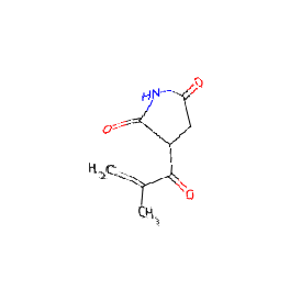 C=C(C)C(=O)C1CC(=O)NC1=O